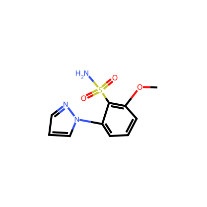 COc1cccc(-n2cccn2)c1S(N)(=O)=O